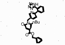 CCCCc1cc(C(=O)OCc2ccccc2)cc(=O)n1Cc1ccc(-c2ccccc2-c2nnn[nH]2)nc1